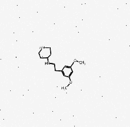 COc1cc(CCNC2CCNCC2)cc(OC)c1